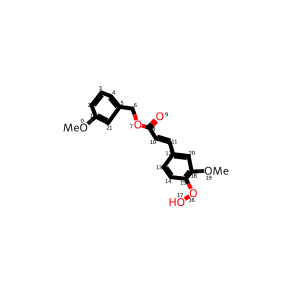 COc1cccc(COC(=O)C=Cc2ccc(OO)c(OC)c2)c1